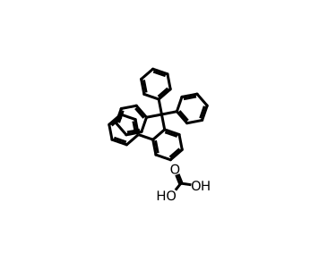 O=C(O)O.c1ccc(-c2ccccc2C(c2ccccc2)(c2ccccc2)c2ccccc2)cc1